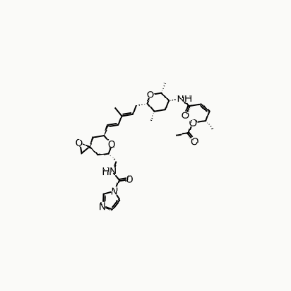 CC(=O)O[C@@H](C)/C=C\C(=O)N[C@@H]1C[C@H](C)[C@H](C/C=C(C)/C=C/[C@@H]2C[C@]3(CO3)C[C@@H](CNC(=O)n3ccnc3)O2)O[C@@H]1C